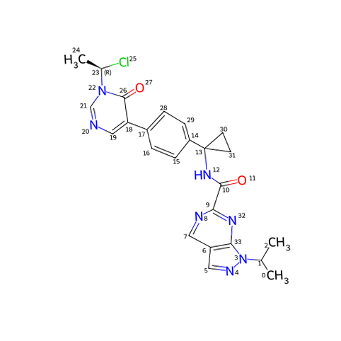 CC(C)n1ncc2cnc(C(=O)NC3(c4ccc(-c5cncn([C@@H](C)Cl)c5=O)cc4)CC3)nc21